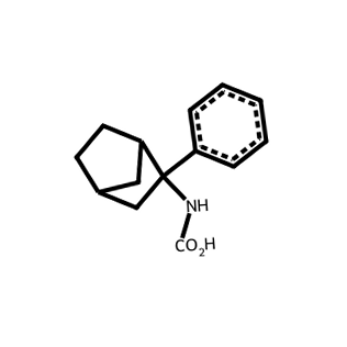 O=C(O)NC1(c2ccccc2)CC2CCC1C2